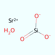 O.O=[Si]([O-])[O-].[Sr+2]